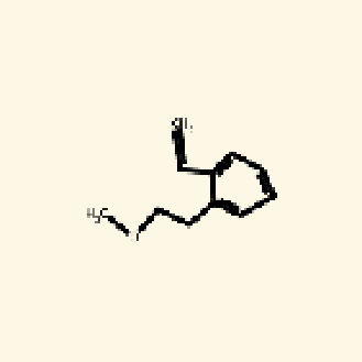 C=Cc1ccccc1CCOC